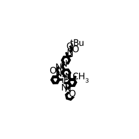 Cc1ccc2c(cnn2C2CCCCO2)c1N1CCc2c(N3CCC4(CC3)CN(C(=O)OC(C)(C)C)C4)nc(=O)n(-c3ccccc3C(C)C)c2C1